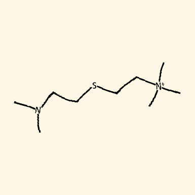 CN(C)CCSCC[N+](C)(C)C